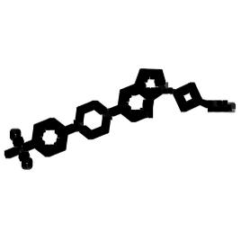 CN[C@H]1C[C@H](n2ccc3cc(N4CCN(c5ccc(S(C)(=O)=O)cc5)CC4)cnc32)C1